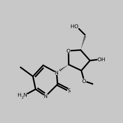 COC1C(O)[C@@H](CO)O[C@H]1n1cc(C)c(N)nc1=S